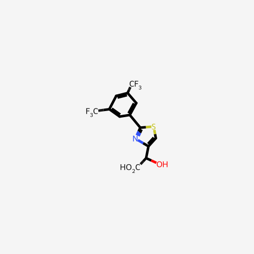 O=C(O)C(O)c1csc(-c2cc(C(F)(F)F)cc(C(F)(F)F)c2)n1